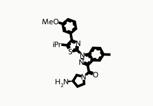 COc1cccc(-c2nc(-n3nc(C(=O)N4CC[C@@H](N)C4)c4cc(C)ccc43)sc2C(C)C)c1